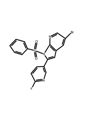 O=S(=O)(c1ccccc1)n1c(-c2ccc(F)nc2)cc2cc(Br)cnc21